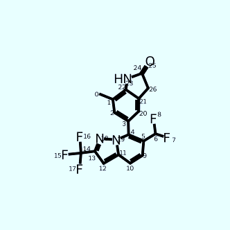 Cc1cc(-c2c(C(F)F)ccc3cc(C(F)(F)F)nn23)cc2c1NC(=O)C2